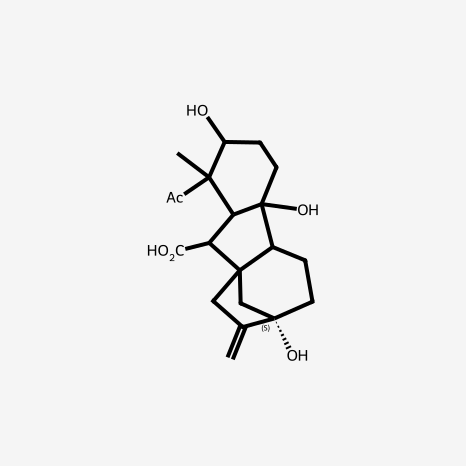 C=C1CC23C[C@@]1(O)CCC2C1(O)CCC(O)C(C)(C(C)=O)C1C3C(=O)O